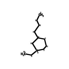 CCCCC1CCCN(CC)C1